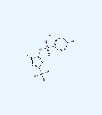 Cn1nc(C(F)(F)F)cc1OS(=O)(=O)c1ccc(Cl)cc1Cl